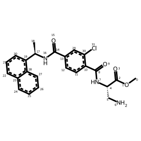 COC(=O)[C@H](CN)NC(=O)c1ccc(C(=O)N[C@H](C)c2cccc3ccccc23)cc1Cl